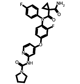 NC(=O)C1(C(=O)N(c2ccc(F)cc2)c2ccc(Oc3ccnc(NC(=O)N4CCCC4)c3)cc2F)CC1